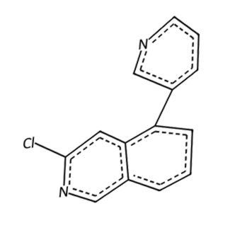 Clc1cc2c(-c3cccnc3)cccc2cn1